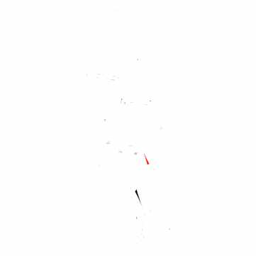 CC(C)(C)OC(=O)N1CC[C@@H](OC[C@H]2CO2)[C@H](F)C1